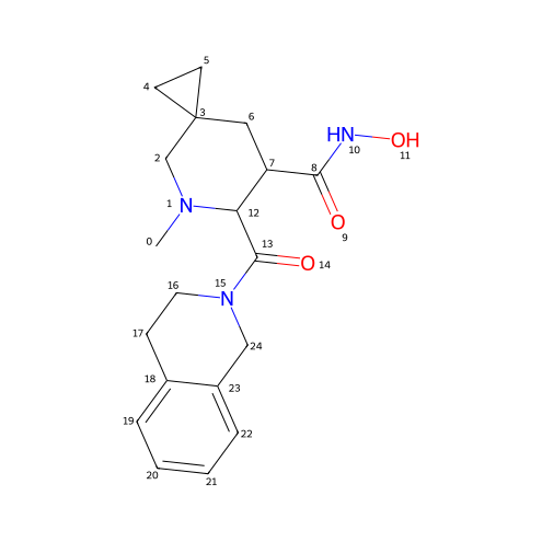 CN1CC2(CC2)CC(C(=O)NO)C1C(=O)N1CCc2ccccc2C1